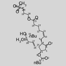 CCCCC(=O)O[C@@H]1CC(=O)[C@H](C/C=C\CCCC(=O)OCCSS(C)(=O)=O)[C@H]1/C=C/C[C@@](C)(O)CCCC